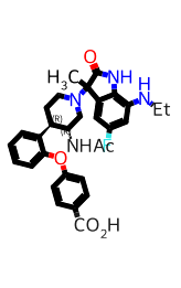 CCNc1cc(F)cc2c1NC(=O)C2(C)N1CC[C@H](c2ccccc2Oc2ccc(C(=O)O)cc2)[C@@H](NC(C)=O)C1